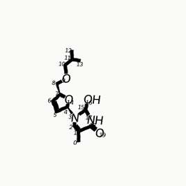 CC1=CN([C@H]2C=C[C@@H](COCC(C)C)O2)C(O)NC1=O